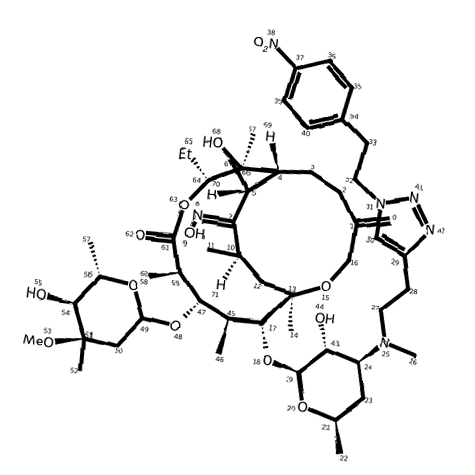 C=C1CC[C@@H]2[C@@H](C)/C(=N/O)[C@H](C)C[C@@](C)(OC1)[C@H](O[C@@H]1O[C@H](C)C[C@H](N(C)CCc3cn(CCc4ccc([N+](=O)[O-])cc4)nn3)[C@H]1O)[C@@H](C)[C@H](OC1C[C@@](C)(OC)[C@@H](O)[C@H](C)O1)[C@@H](C)C(=O)O[C@H](CC)[C@@]2(C)O